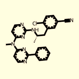 C[C@@H](Cc1cc(C#N)ccc1Cl)Nc1nccc(N(C)c2ccnc(-c3ccccc3)n2)n1